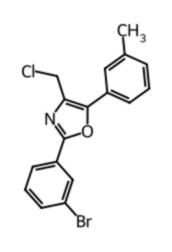 Cc1cccc(-c2oc(-c3cccc(Br)c3)nc2CCl)c1